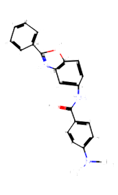 CN(C)c1ccc(C(=O)Nc2ccc3oc(-c4ccccc4)nc3c2)cc1